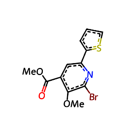 COC(=O)c1cc(-c2cccs2)nc(Br)c1OC